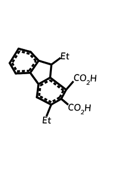 CCc1cc2c(c(C(=O)O)c1C(=O)O)C(CC)c1ccccc1-2